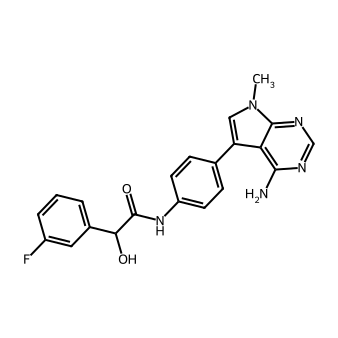 Cn1cc(-c2ccc(NC(=O)C(O)c3cccc(F)c3)cc2)c2c(N)ncnc21